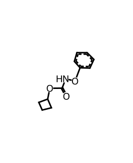 O=C(NOc1ccccc1)OC1CCC1